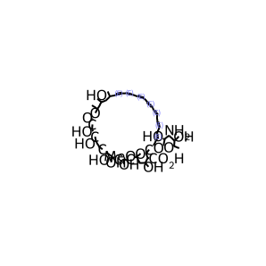 COC12CC(O)CC(O)C(O)CCC(O)CC(O)CC(=O)OC(C)C(C)C(O)C(C)/C=C/C=C/C=C/C=C/C=C/C=C/C=C/C(OC3OC(C)C(O)C(N)C3O)CC(O1)C(C(=O)O)C(O)C2